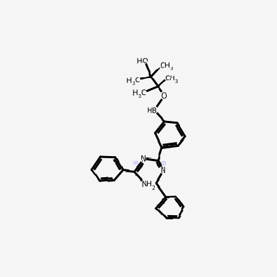 CC(C)(O)C(C)(C)OBc1cccc(C(/N=C(\N)c2ccccc2)=N/Cc2ccccc2)c1